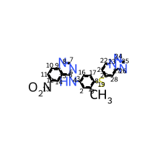 Cc1cc(Nc2ncnc3ccc([N+](=O)[O-])cc23)ccc1Sc1ccn2ncnc2c1